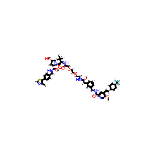 COc1cnc(C(=O)NCc2cccc(CC(=O)NCCOCCOCC(=O)NC(C(=O)N3C[C@H](O)C[C@H]3C(=O)NCc3ccc(-c4scnc4C)cc3)C(C)(C)C)c2)cc1/C=C/[C@H]1CC[C@H](C(F)(F)F)CC1